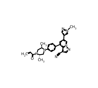 C=CC(=O)N1C[C@@H](C)N(c2ccc(-c3cc(-c4cnn(C)c4)cn4ncc(C#N)c34)cc2)C[C@@H]1C